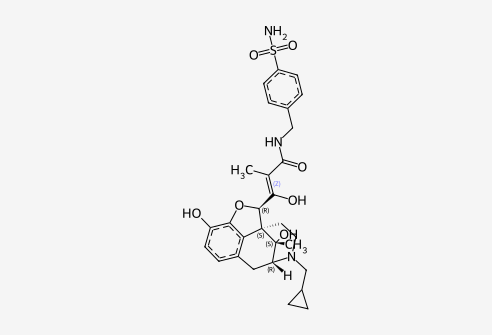 C/C(C(=O)NCc1ccc(S(N)(=O)=O)cc1)=C(/O)[C@@H]1Oc2c(O)ccc3c2[C@@]12CCN(CC1CC1)[C@H](C3)[C@@]2(C)O